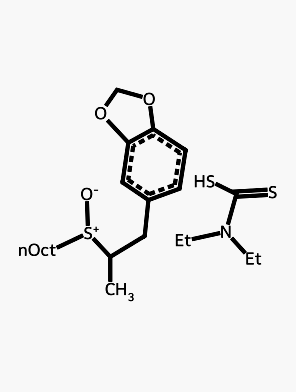 CCCCCCCC[S+]([O-])C(C)Cc1ccc2c(c1)OCO2.CCN(CC)C(=S)S